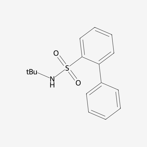 CC(C)(C)NS(=O)(=O)c1ccccc1-c1ccccc1